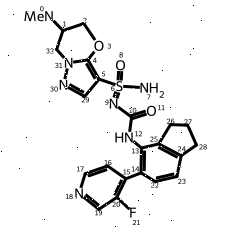 CNC1COc2c(S(N)(=O)=NC(=O)Nc3c(-c4ccncc4F)ccc4c3CCC4)cnn2C1